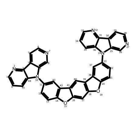 c1cnc2c3ccncc3n(-c3ccc4oc5cc6oc7ccc(-n8c9cnccc9c9ncccc98)cc7c6cc5c4c3)c2c1